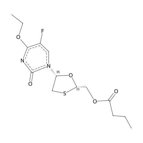 CCCC(=O)OC[C@H]1O[C@@H](n2cc(F)c(OCC)nc2=O)CS1